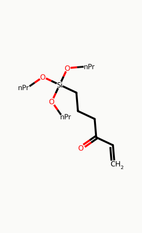 C=CC(=O)CCC[Si](OCCC)(OCCC)OCCC